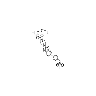 CC(C)OC(=O)N1CCN(c2nc3ccc(-c4ccc(C[SH](=O)=O)cc4)nc3s2)CC1